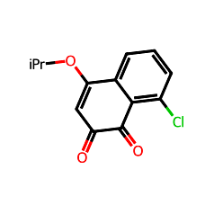 CC(C)OC1=CC(=O)C(=O)c2c(Cl)cccc21